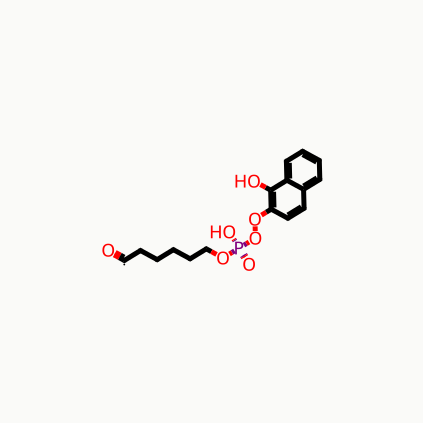 O=[C]CCCCCOP(=O)(O)OOc1ccc2ccccc2c1O